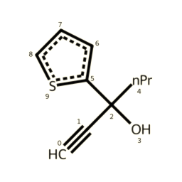 C#CC(O)(CCC)c1cccs1